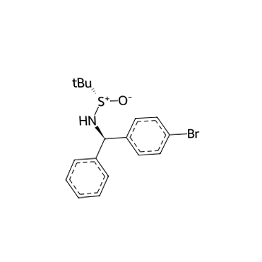 CC(C)(C)[S@+]([O-])N[C@H](c1ccccc1)c1ccc(Br)cc1